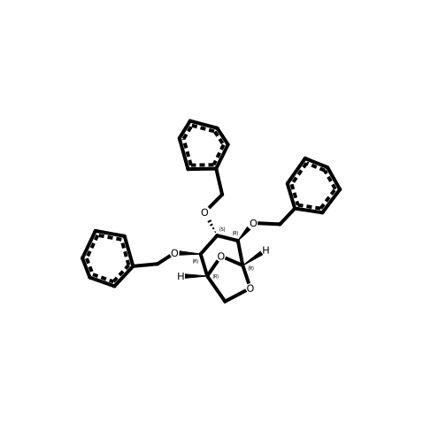 c1ccc(CO[C@@H]2[C@@H](OCc3ccccc3)[C@@H]3OC[C@@H](O3)[C@H]2OCc2ccccc2)cc1